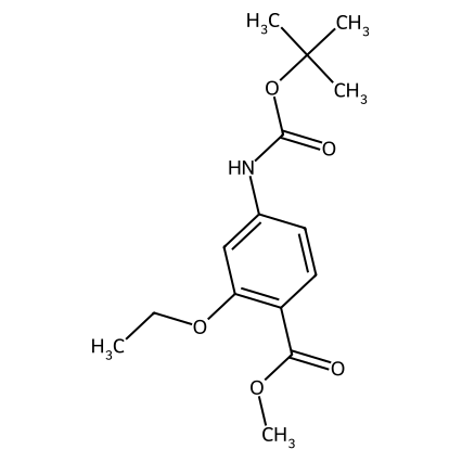 CCOc1cc(NC(=O)OC(C)(C)C)ccc1C(=O)OC